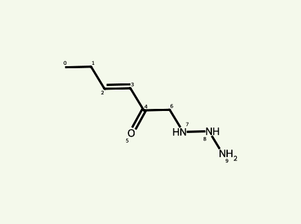 CCC=CC(=O)CNNN